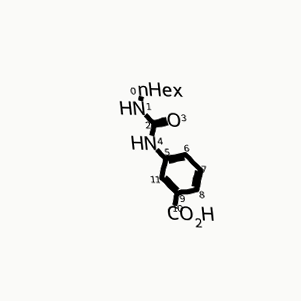 CCCCCCNC(=O)Nc1cccc(C(=O)O)c1